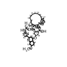 COc1ccc2c(O[C@@H]3C[C@@H](C(=O)N[C@]45C[C@H]4/C=C/CCCCCCCC4(CC4)S(=O)(=O)NC5=O)N(C(=O)O)C3)cc(-c3csc(NC(C)C)n3)nc2c1